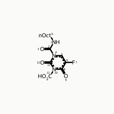 CCCCCCCCNC(=O)n1cc(F)c(=O)n(C(=O)O)c1=O